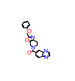 O=C(c1ccc2nccnc2c1)N1CCc2nc(COc3ccccc3)oc2C1